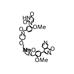 COc1ccc(C(=O)N2CCC(OCCN3CCN(Cc4c(OC)cc(-c5cn(C)c(=O)c6cnccc56)cc4OC)CC3)CC2)cc1-n1ccc(=O)[nH]c1=O